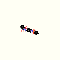 Cc1ccc(S(=O)(=O)N2Cc3ccc(CN4C(=O)c5ccccc5C4=O)cc3C2)cc1